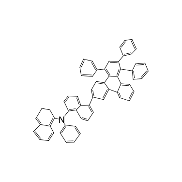 C1=c2ccccc2=C(N(c2ccccc2)c2cccc3c(-c4ccc5c(c4)c4ccccc4c4c(-c6ccccc6)c(-c6ccccc6)cc(-c6ccccc6)c54)cccc23)CC1